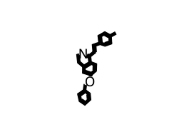 Cc1ccc(C=CC2=NCCc3cc(OCc4ccccc4)ccc32)cc1